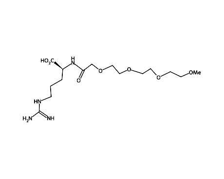 COCCOCCOCCOCC(=O)N[C@@H](CCCNC(=N)N)C(=O)O